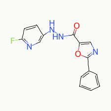 O=C(NNc1ccc(F)nc1)c1cnc(-c2ccccc2)o1